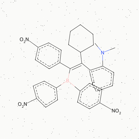 CN(C)c1ccccc1/C(=C(\B(c1ccc([N+](=O)[O-])cc1)c1ccc([N+](=O)[O-])cc1)c1ccc([N+](=O)[O-])cc1)C1CCCCC1